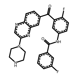 O=C(Nc1ccc(F)c(C(=O)c2ccc3ncc(N4CCNCC4)nc3c2)c1)c1cccc(F)c1